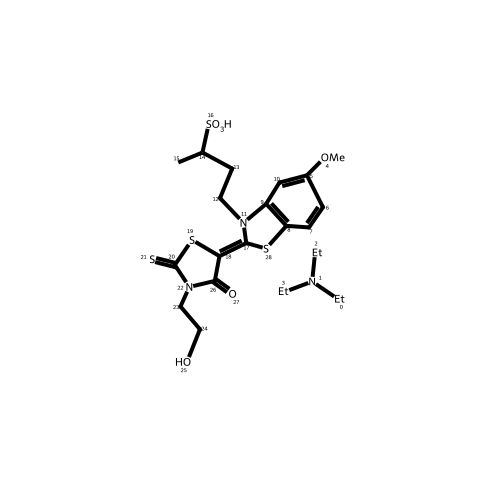 CCN(CC)CC.COc1ccc2c(c1)N(CCC(C)S(=O)(=O)O)/C(=C1\SC(=S)N(CCO)C1=O)S2